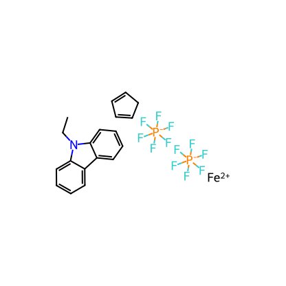 C1=CCC=C1.CCn1c2ccccc2c2ccccc21.F[P-](F)(F)(F)(F)F.F[P-](F)(F)(F)(F)F.[Fe+2]